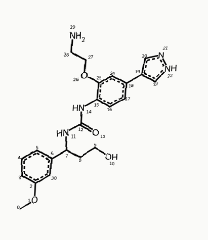 COc1cccc(C(CCO)NC(=O)Nc2ccc(-c3cn[nH]c3)cc2OCCN)c1